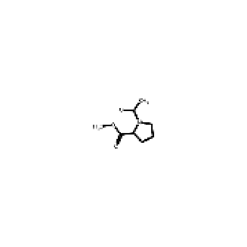 COC(=O)C1CCCN1C(C)[O]